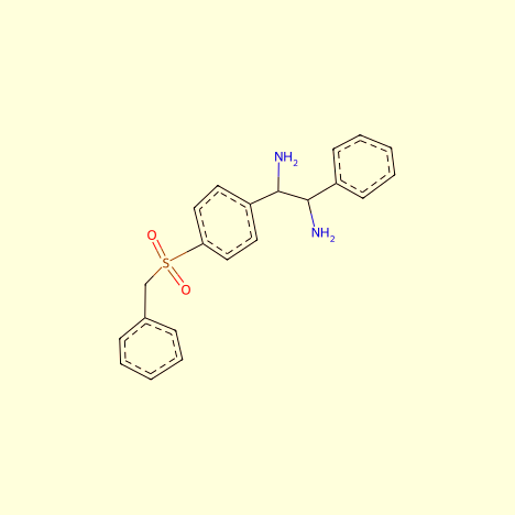 NC(c1ccccc1)C(N)c1ccc(S(=O)(=O)Cc2ccccc2)cc1